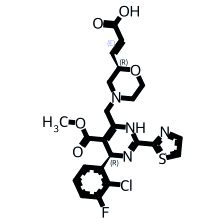 COC(=O)C1=C(CN2CCO[C@H](/C=C/C(=O)O)C2)NC(c2nccs2)=N[C@H]1c1cccc(F)c1Cl